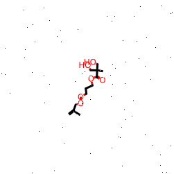 C=C(C)COOCCCOC(=O)C(C)(CO)CO